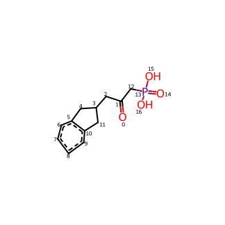 O=C(CC1Cc2ccccc2C1)CP(=O)(O)O